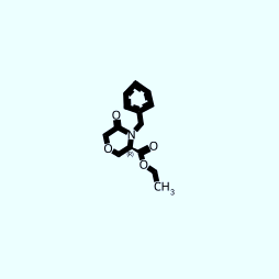 CCOC(=O)[C@H]1COCC(=O)N1Cc1ccccc1